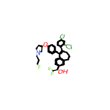 OC(c1ccc2c(c1)CCCC(c1ccc(Cl)cc1Cl)=C2c1ccc(OC2CCN(CCCF)C2)cc1)C(F)F